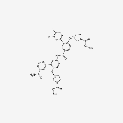 CC(C)(C)OC(=O)N1CC[C@H](Oc2ccc(NC(=O)c3ccc(O[C@H]4CCN(C(=O)OC(C)(C)C)C4)c(-c4ccc(F)c(F)c4)c3)cc2-c2cccc(C(N)=O)c2)C1